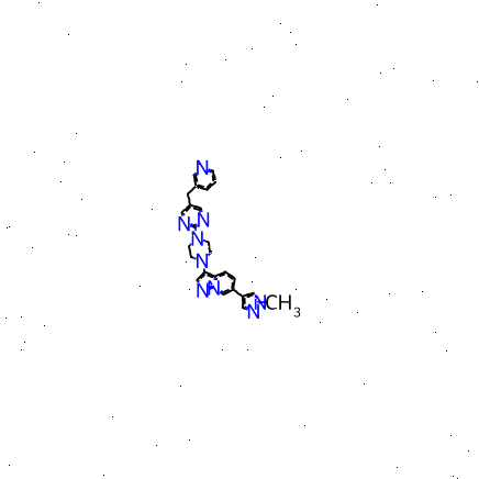 Cn1cc(-c2ccc3c(N4CCN(c5ncc(Cc6cccnc6)cn5)CC4)cnn3c2)cn1